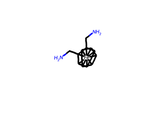 NC[C]12[CH]3[CH]4[CH]5[C]1(CN)[Fe]43521678[CH]2[CH]1[CH]6[CH]7[CH]28